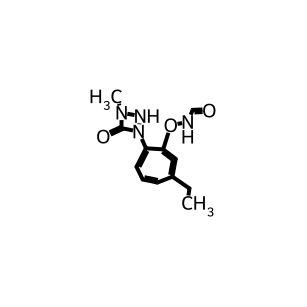 CCC1=C=C(ONC=O)C(n2[nH]n(C)c2=O)=CC=C1